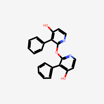 Oc1ccnc(Oc2nccc(O)c2-c2ccccc2)c1-c1ccccc1